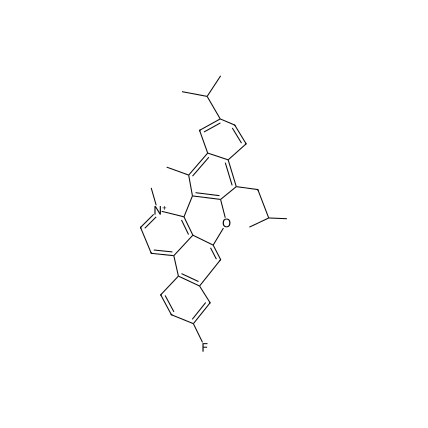 Cc1c2c(c(CC(C)C)c3ccc(C(C)C)cc13)Oc1cc3cc(F)ccc3c3cc[n+](C)c-2c13